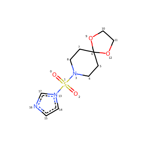 O=S(=O)(N1CCC2(CC1)OCCO2)n1ccnc1